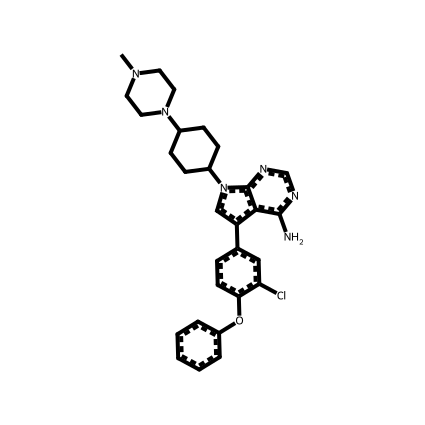 CN1CCN(C2CCC(n3cc(-c4ccc(Oc5ccccc5)c(Cl)c4)c4c(N)ncnc43)CC2)CC1